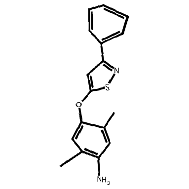 Cc1cc(Oc2cc(-c3ccccc3)ns2)c(C)cc1N